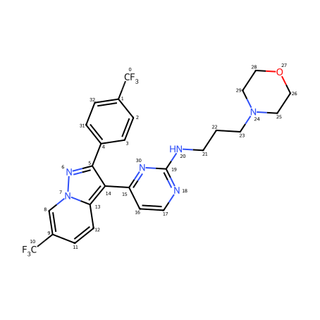 FC(F)(F)c1ccc(-c2nn3cc(C(F)(F)F)ccc3c2-c2ccnc(NCCCN3CCOCC3)n2)cc1